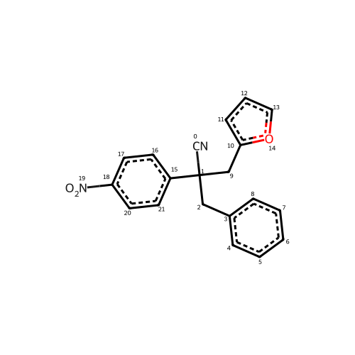 N#CC(Cc1ccccc1)(Cc1ccco1)c1ccc([N+](=O)[O-])cc1